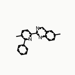 Cc1ccc2nc(-c3ccc(C)c(-c4ccccc4)n3)ncc2c1